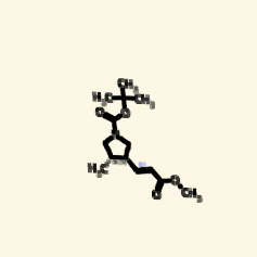 COC(=O)/C=C/[C@@H]1CN(C(=O)OC(C)(C)C)C[C@H]1C